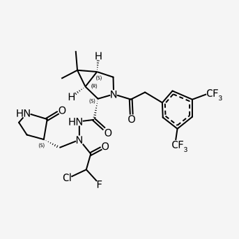 CC1(C)[C@@H]2[C@@H](C(=O)NN(C[C@@H]3CCNC3=O)C(=O)C(F)Cl)N(C(=O)Cc3cc(C(F)(F)F)cc(C(F)(F)F)c3)C[C@@H]21